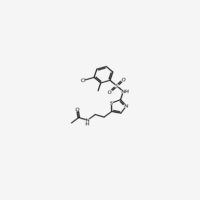 CC(=O)NCCc1cnc(NS(=O)(=O)c2cccc(Cl)c2C)s1